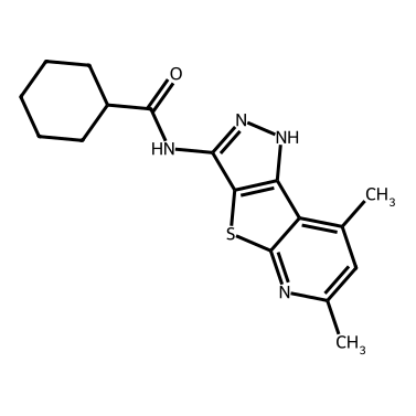 Cc1cc(C)c2c(n1)sc1c(NC(=O)C3CCCCC3)n[nH]c12